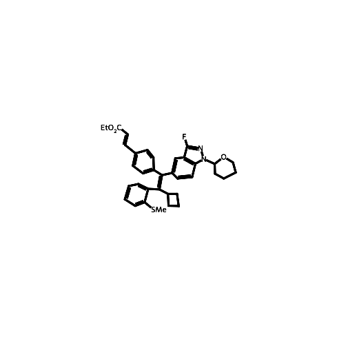 CCOC(=O)/C=C/c1ccc(/C(=C(\c2ccccc2SC)C2CCC2)c2ccc3c(c2)c(F)nn3C2CCCCO2)cc1